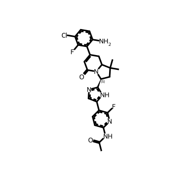 CC(=O)Nc1ccc(-c2cnc([C@@H]3CC(C)(C)C4CC(c5c(N)ccc(Cl)c5F)=CC(=O)N43)[nH]2)c(F)n1